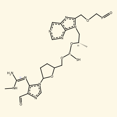 CN/C(N)=N\c1c(C=O)ncn1C1CCC(COP(S)O[C@@H](C)Cn2c(COCP=O)nc3cncnc32)O1